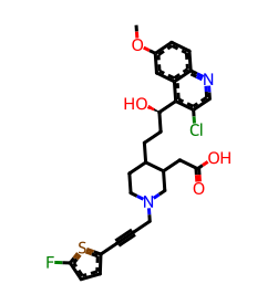 COc1ccc2ncc(Cl)c([C@H](O)CCC3CCN(CC#Cc4ccc(F)s4)CC3CC(=O)O)c2c1